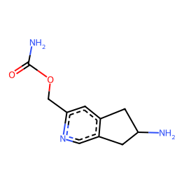 NC(=O)OCc1cc2c(cn1)CC(N)C2